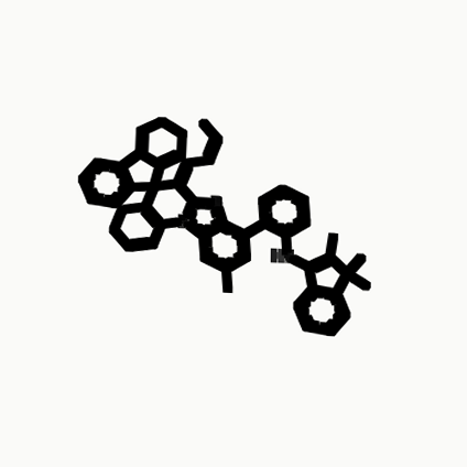 C/C=C\C=C1/c2bc3c(-c4ccccc4NC4=C(C)C(C)(C)c5ccccc54)cc(C)cc3n2C2=C(CCC=C2)C12C1=CCCC=C1c1ccccc12